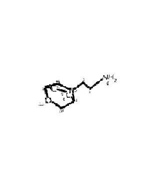 NCCN1CC2CCCC1CO2